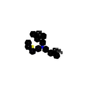 CC1(C)c2ccccc2-c2ccc(-c3ccc(N(c4ccc(-c5ccccc5-c5cccc6c5C(C)(C)c5ccccc5-6)cc4)c4ccc(-c5cccc6c5sc5c7ccccc7ccc65)cc4)cc3)cc21